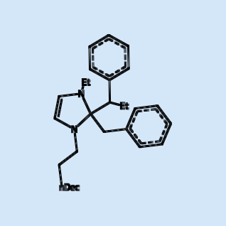 CCCCCCCCCCCCN1C=CN(CC)C1(Cc1ccccc1)C(CC)c1ccccc1